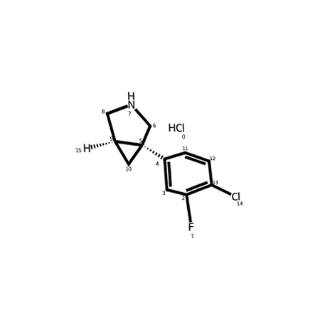 Cl.Fc1cc([C@@]23CNC[C@@H]2C3)ccc1Cl